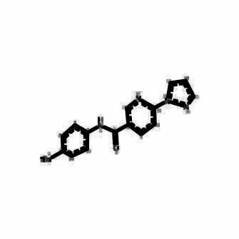 CC(C)(C)c1ccc(NC(=O)c2ccc(-n3cccn3)nc2)cc1